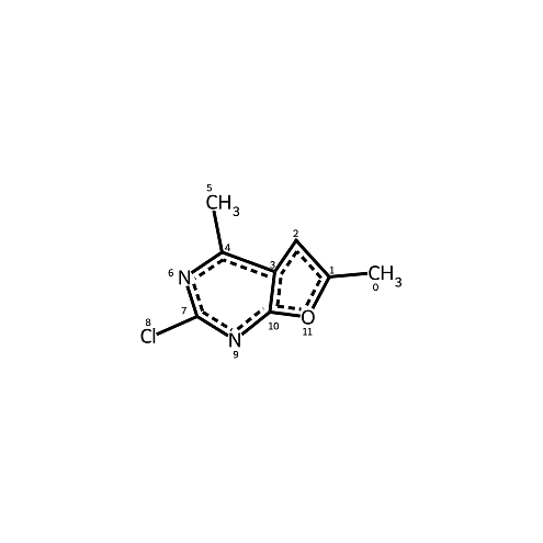 Cc1cc2c(C)nc(Cl)nc2o1